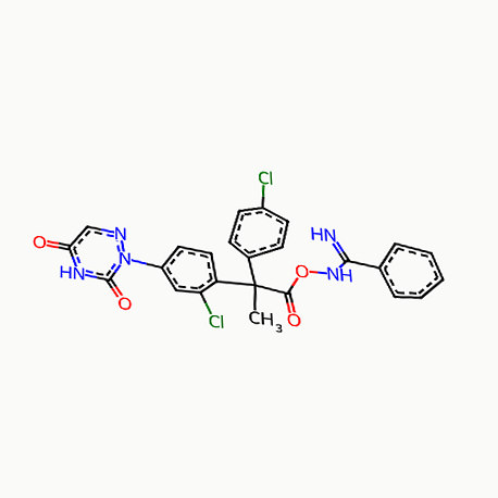 CC(C(=O)ONC(=N)c1ccccc1)(c1ccc(Cl)cc1)c1ccc(-n2ncc(=O)[nH]c2=O)cc1Cl